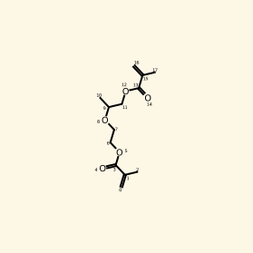 C=C(C)C(=O)OCCOC(C)COC(=O)C(=C)C